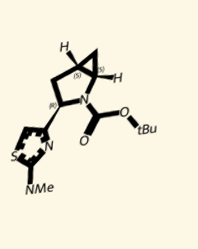 CNc1nc([C@H]2C[C@@H]3C[C@@H]3N2C(=O)OC(C)(C)C)cs1